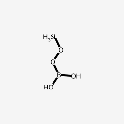 OB(O)OO[SiH3]